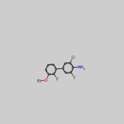 CCOc1cccc(-c2cc(F)c(N)c(Cl)c2)c1F